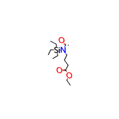 CCOC(=O)CCCN([C]=O)[Si](CC)(CC)CC